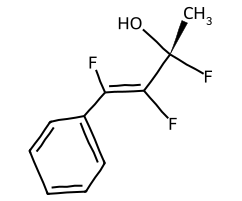 C[C@@](O)(F)C(F)=C(F)c1ccccc1